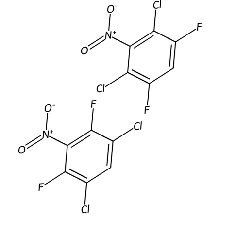 O=[N+]([O-])c1c(Cl)c(F)cc(F)c1Cl.O=[N+]([O-])c1c(F)c(Cl)cc(Cl)c1F